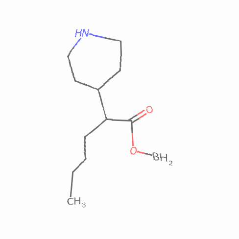 BOC(=O)C(CCCC)C1CCNCC1